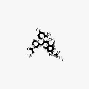 C=C1C=C(Cl)C=CN1/C(CC1CN(C(=O)CC)CCO1)=C(\C)c1c(F)cc(NC(C)=O)cc1F